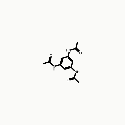 CC(=O)Nc1[c]c(NC(C)=O)cc(NC(C)=O)c1